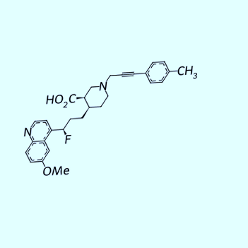 COc1ccc2nccc([C@H](F)CC[C@@H]3CCN(CC#Cc4ccc(C)cc4)C[C@@H]3C(=O)O)c2c1